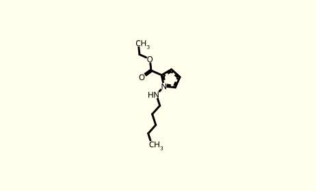 CCCCCNn1cccc1C(=O)OCC